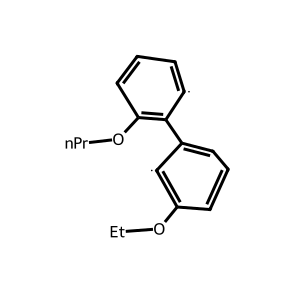 CCCOc1ccc[c]c1-c1[c]c(OCC)ccc1